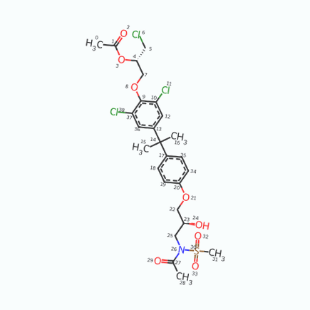 CC(=O)O[C@H](CCl)COc1c(Cl)cc(C(C)(C)c2ccc(OC[C@@H](O)CN(C(C)=O)S(C)(=O)=O)cc2)cc1Cl